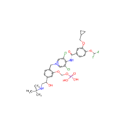 CC(C)(C)NCC(O)c1ccc(C[n+]2cc(Cl)c(NC(=O)c3ccc(OC(F)F)c(OCC4CC4)c3)c(Cl)c2)c(OCOP(=O)(O)O)c1